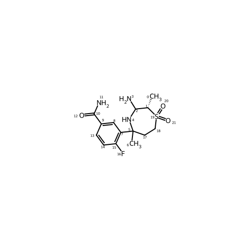 C[C@H]1C(N)NC(C)(c2cc(C(N)=O)ccc2F)CCS1(=O)=O